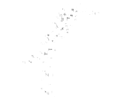 CC(C)CCC[C@@H](C)[C@H]1CC[C@H]2[C@@H]3CC=C4C[C@@H](OC(=O)C(C)C(=O)N(CCCN)CCCCNCCCN)CC[C@]4(C)C3CC[C@]12C